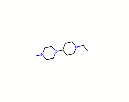 CCN1CCC(N2CCN(C)CC2)CC1